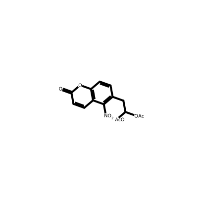 CC(=O)OC(Cc1ccc2oc(=O)ccc2c1[N+](=O)[O-])OC(C)=O